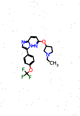 CCN1CCC(Oc2ccc3ncc(-c4ccc(OC(F)(F)F)cc4)n3n2)C1